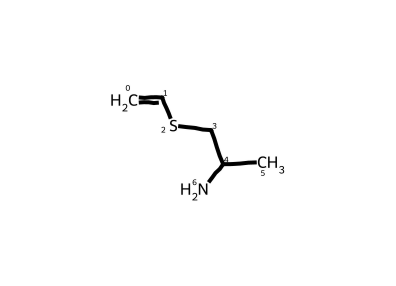 C=CSCC(C)N